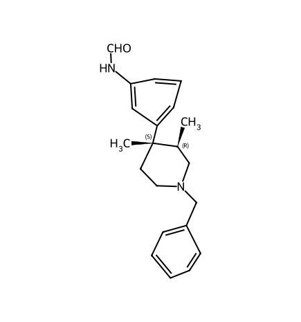 C[C@H]1CN(Cc2ccccc2)CC[C@]1(C)c1cccc(NC=O)c1